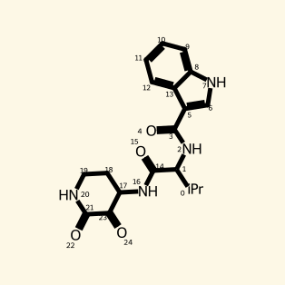 CC(C)C(NC(=O)c1c[nH]c2ccccc12)C(=O)NC1CCNC(=O)C1=O